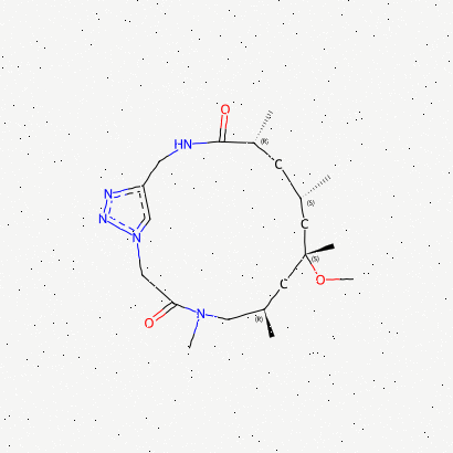 CO[C@@]1(C)C[C@@H](C)C[C@@H](C)C(=O)NCc2cn(nn2)CC(=O)N(C)C[C@H](C)C1